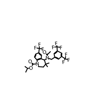 CC(=O)N(Cc1cc(C(F)(F)F)cc(C(F)(F)F)c1)C1c2cc(C(F)(F)F)ccc2N(C(=O)OC(C)C)CCC1(C)C